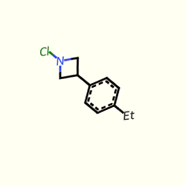 CCc1ccc(C2CN(Cl)C2)cc1